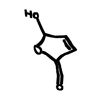 O=C1C=CC(O)O1